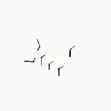 CC[O-].CC[O-].CC[O-].CC[O-].C[CH2][Al+][CH2]C.[Al+3]